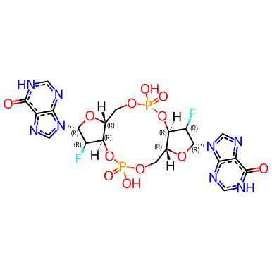 O=c1[nH]cnc2c1ncn2[C@@H]1O[C@@H]2COP(=O)(O)O[C@H]3[C@@H](F)[C@H](n4cnc5c(=O)[nH]cnc54)O[C@@H]3COP(=O)(O)O[C@H]2[C@H]1F